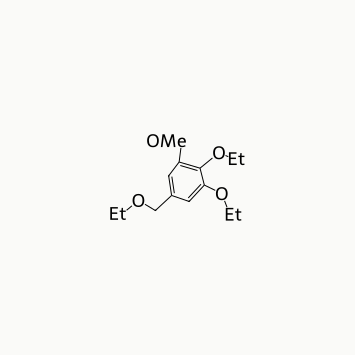 CCOCc1cc(OC)c(OCC)c(OCC)c1